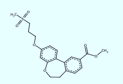 COC(=O)c1ccc2c(c1)-c1ccc(OCCCS(C)(=O)=O)cc1OCC2